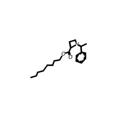 CCCCCCCCOC(=O)C1CCN1C(C)c1ccccc1